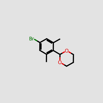 Cc1cc(Br)cc(C)c1C1OCCCO1